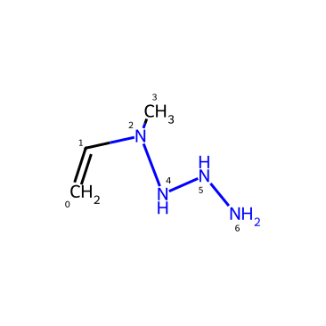 C=CN(C)NNN